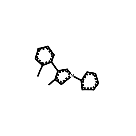 Cc1ccccc1-c1cn(-c2ccccc2)cc1C